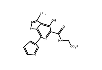 Cc1nsc2c(-c3cccnc3)nc(C(=O)NCC(=O)O)c(O)c12